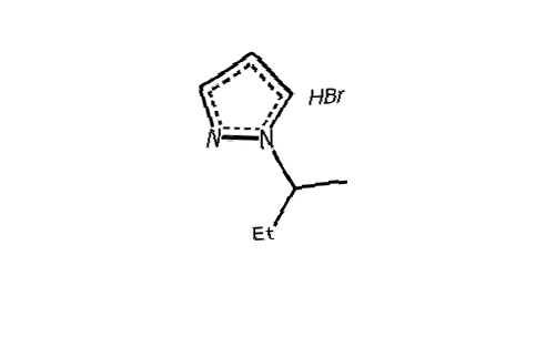 Br.CCC(C)n1cccn1